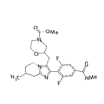 CNC(=O)c1cc(F)c(-c2nc3n(c2CC2CN(C(=O)OC)CCO2)CCC(C)C3)c(F)c1